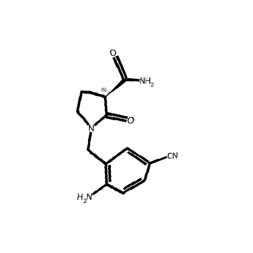 N#Cc1ccc(N)c(CN2CC[C@@H](C(N)=O)C2=O)c1